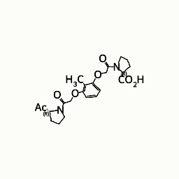 CC(=O)[C@H]1CCCN1C(=O)COc1cccc(OCC(=O)N2CCC[C@@H]2C(=O)O)c1C